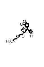 COCCOCCC(=O)N1CCn2c(c(-c3cn[nH]c3)c3ccc(Cl)c(Cl)c32)C1